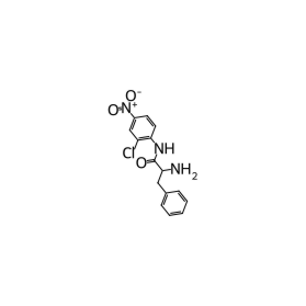 NC(Cc1ccccc1)C(=O)Nc1ccc([N+](=O)[O-])cc1Cl